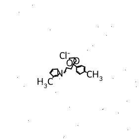 Cc1ccc(C2(CCC[n+]3cccc(C)c3)OCCO2)cc1.[Cl-]